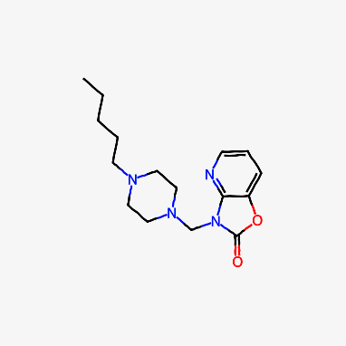 CCCCCN1CCN(Cn2c(=O)oc3cccnc32)CC1